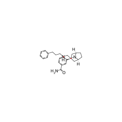 NC(=O)c1cccc([C@H]2C[C@H]3CC[C@@H](C2)N3CCNCCCc2ccccc2)c1